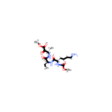 CC(C)C[C@H](NC(=O)[C@H](CCCCN)NC(=O)OC(C)(C)C)C(=O)N[C@H](C(=O)C(=O)OC(C)(C)C)C(C)C